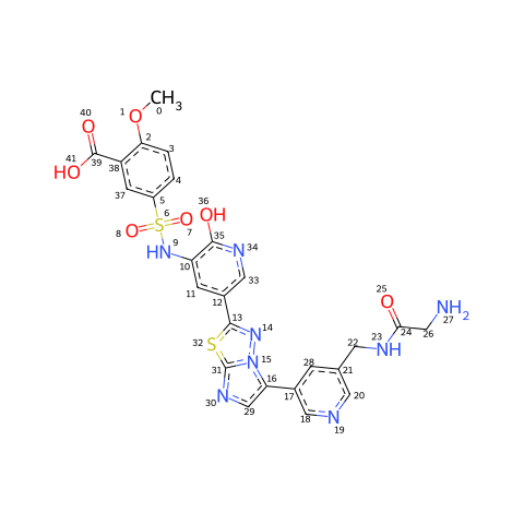 COc1ccc(S(=O)(=O)Nc2cc(-c3nn4c(-c5cncc(CNC(=O)CN)c5)cnc4s3)cnc2O)cc1C(=O)O